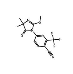 CSC1=NC(C)(C)C(=S)N1c1ccc(C#N)c(C(F)(F)F)c1